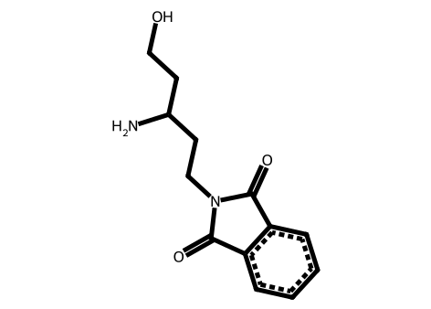 NC(CCO)CCN1C(=O)c2ccccc2C1=O